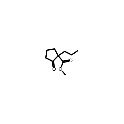 CCCC1(C(=O)OC)CCCC1=O